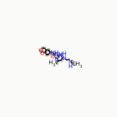 CSNCCNc1cc(C)nc(NC(=O)Nc2ccc3c(c2)CCOO3)n1